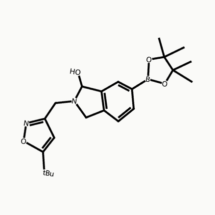 CC(C)(C)c1cc(CN2Cc3ccc(B4OC(C)(C)C(C)(C)O4)cc3C2O)no1